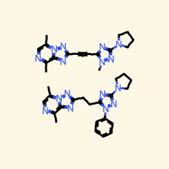 Cc1ncc(C)n2nc(C#Cc3nc(N4CCCC4)nn3C)nc12.Cc1ncc(C)n2nc(CCc3nc(N4CCCC4)nn3-c3ccccc3)nc12